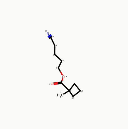 CC1(C(=O)OCCCCC#N)CCC1